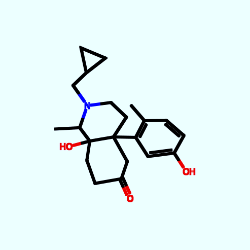 Cc1ccc(O)cc1C12CCN(CC3CC3)C(C)C1(O)CCC(=O)C2